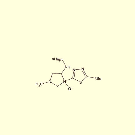 CCCCCCCNC1CN(C)C[N+]1([O-])c1nnc(C(C)(C)C)s1